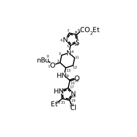 CCCCOC1CN(c2ncc(C(=O)OCC)s2)CCC1NC(=O)c1nc(Cl)c(CC)[nH]1